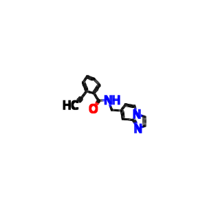 C#Cc1ccccc1C(=O)NCc1ccn2ccnc2c1